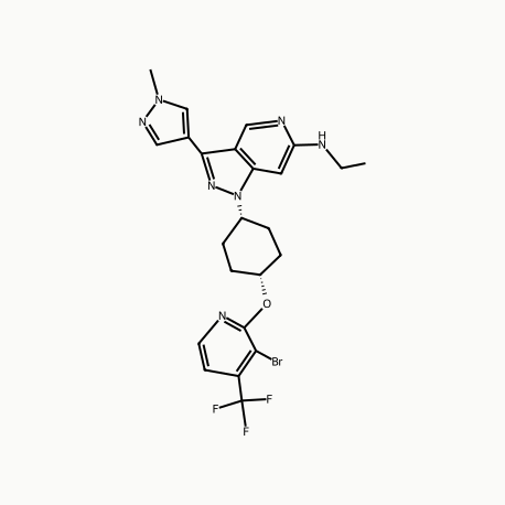 CCNc1cc2c(cn1)c(-c1cnn(C)c1)nn2[C@H]1CC[C@@H](Oc2nccc(C(F)(F)F)c2Br)CC1